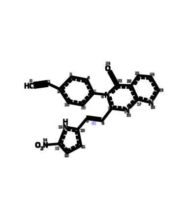 C#Cc1ccc(-n2c(/C=C/c3ccc([N+](=O)[O-])[nH]3)nc3ncccc3c2=O)cc1